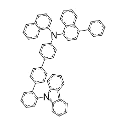 c1ccc(-c2ccc(N(c3ccc(-c4ccc(-c5ccccc5-n5c6ccccc6c6ccccc65)cc4)cc3)c3cccc4ccccc34)c3ccccc23)cc1